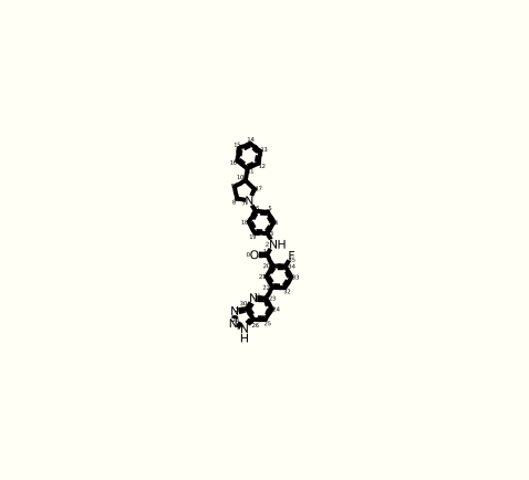 O=C(Nc1ccc(N2CCC(c3ccccc3)C2)cc1)c1cc(-c2ccc3[nH]nnc3n2)ccc1F